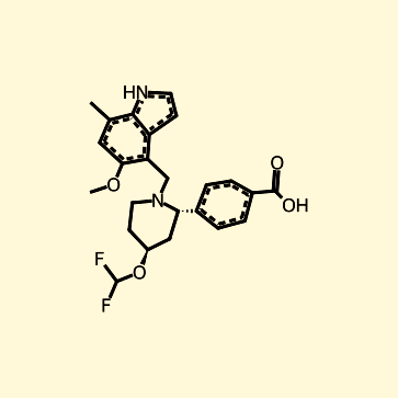 COc1cc(C)c2[nH]ccc2c1CN1CC[C@H](OC(F)F)C[C@H]1c1ccc(C(=O)O)cc1